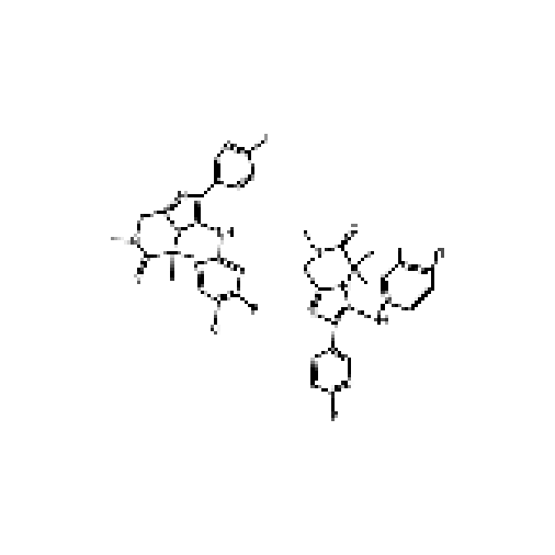 CN1Cc2nc(-c3ccc(F)cc3)c(Nc3ccc(Cl)c(F)c3)n2C(C)(C)C1=O.Cc1cc(Nc2c(-c3ccc(F)cc3)nc3n2C(C)(C)C(=O)N(C)C3)ccc1Cl